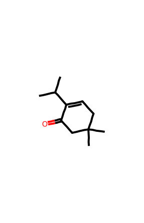 CC(C)C1=CCC(C)(C)CC1=O